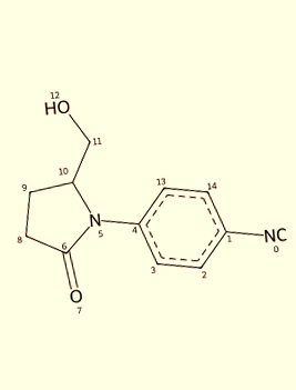 [C-]#[N+]c1ccc(N2C(=O)CCC2CO)cc1